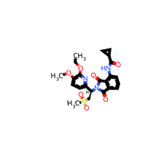 CCOc1nc([C@H](CS(C)(=O)=O)N2C(=O)c3cccc(NC(=O)C4CC4)c3C2=O)ccc1OC